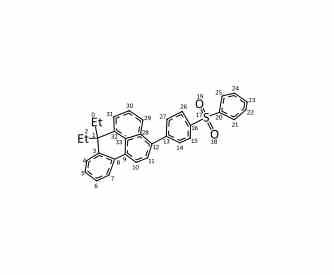 CCC1(CC)c2ccccc2-c2ccc(-c3ccc(S(=O)(=O)c4ccccc4)cc3)c3cccc1c23